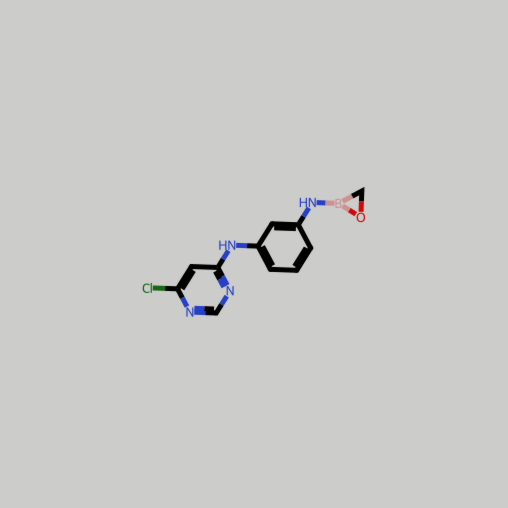 Clc1cc(Nc2cccc(NB3CO3)c2)ncn1